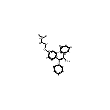 CCC/C(=C(\c1ccccc1)c1ccc(OCCN(C)C)cc1)c1ccccc1